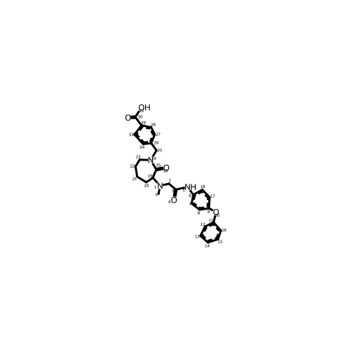 CN(CC(=O)Nc1ccc(Oc2ccccc2)cc1)C1CCCCN(Cc2ccc(C(=O)O)cc2)C1=O